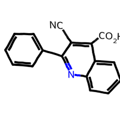 N#Cc1c(-c2ccccc2)nc2ccccc2c1C(=O)O